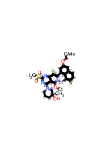 CCOc1nc(-c2cc(OCOC)cc3ccc(F)c(CC)c23)c(F)c2nc(S(C)(=O)=O)nc(N3CCC[C@@](C)(O)C3)c12